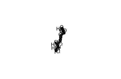 C=CC(=O)Nc1cc2c(Nc3ccc(F)c(Cl)c3)ncnc2cc1OCCCN1CCC(N2CCN(C(=O)CSc3cccc4c3C(=O)N(C3CCC(=O)NC3=O)C4=O)CC2)CC1